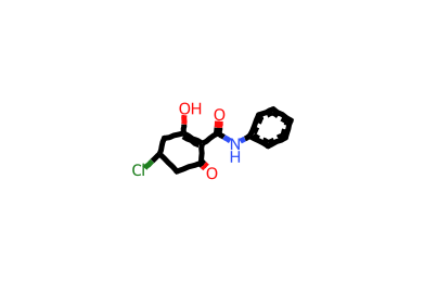 O=C1CC(Cl)CC(O)=C1C(=O)Nc1ccccc1